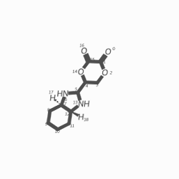 O=C1OCC(C2N[C@@H]3CCCC[C@H]3N2)OC1=O